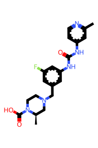 Cc1cc(NC(=O)Nc2cc(F)cc(CN3CCN(C(=O)O)[C@H](C)C3)c2)ccn1